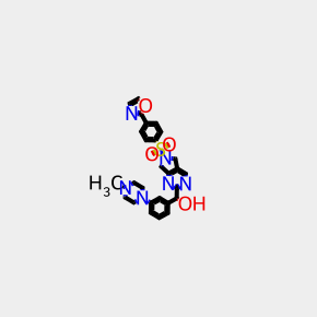 CN1CCN(c2cccc(C(O)c3ncc4c(n3)CN(S(=O)(=O)c3ccc(-c5ncco5)cc3)C4)c2)CC1